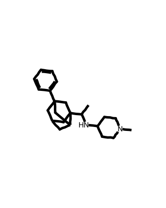 CC(NC1CCN(C)CC1)C12CC3CC1CC(c1ccccc1)(C3)C2